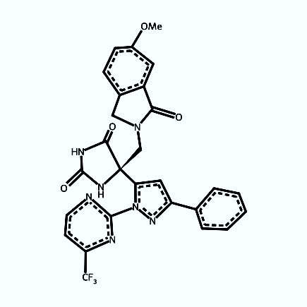 COc1ccc2c(c1)C(=O)N(C[C@@]1(c3cc(-c4ccccc4)nn3-c3nccc(C(F)(F)F)n3)NC(=O)NC1=O)C2